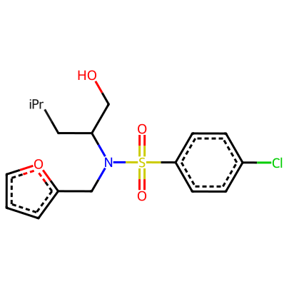 CC(C)CC(CO)N(Cc1ccco1)S(=O)(=O)c1ccc(Cl)cc1